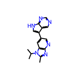 Cc1nc2ncc(-c3c[nH]c4ncncc34)cc2n1C(C)C